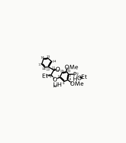 CCOPc1c(OC)cc(OC(CC)C(=O)c2ccccc2)cc1OC.[LiH]